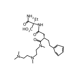 CC[C@@](NC(=O)C[C@@H](CCc1ccccc1)C(=O)N(C)CCN(C)CCN(C)C)(C(N)=O)C(=O)O